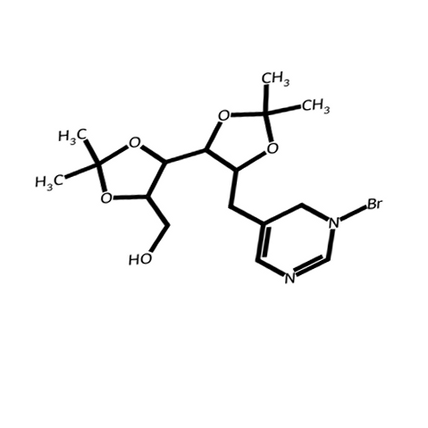 CC1(C)OC(CO)C(C2OC(C)(C)OC2CC2=CN=CN(Br)C2)O1